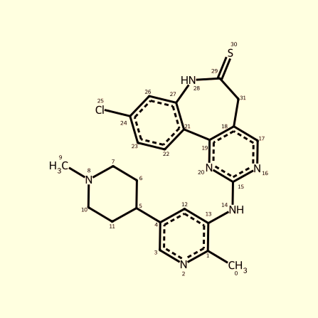 Cc1ncc(C2CCN(C)CC2)cc1Nc1ncc2c(n1)-c1ccc(Cl)cc1NC(=S)C2